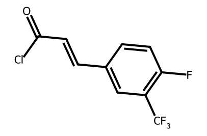 O=C(Cl)C=Cc1ccc(F)c(C(F)(F)F)c1